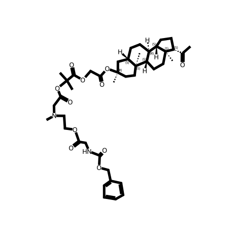 CC(=O)[C@H]1CC[C@H]2[C@@H]3CC[C@H]4C[C@](C)(OC(=O)COC(=O)C(C)(C)OC(=O)CN(C)CCOC(=O)CNC(=O)OCc5ccccc5)CC[C@]4(C)[C@H]3CC[C@]12C